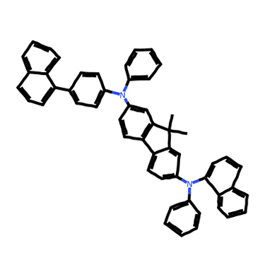 CC1(C)c2cc(N(c3ccccc3)c3ccc(-c4cccc5ccccc45)cc3)ccc2-c2ccc(N(c3ccccc3)c3cccc4ccccc34)cc21